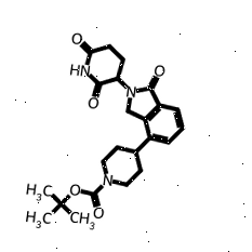 CC(C)(C)OC(=O)N1CCC(c2cccc3c2CN(C2CCC(=O)NC2=O)C3=O)CC1